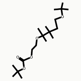 CC(C)(C)OCCC(C)(C)C(C)(C)OCCOC(=O)OC(C)(C)C